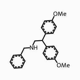 COc1ccc(C(CNCc2ccccc2)c2ccc(OC)cc2)cc1